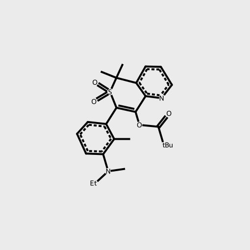 CCN(C)c1cccc(C2=C(OC(=O)C(C)(C)C)c3ncccc3C(C)(C)S2(=O)=O)c1C